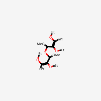 CCCC(OCC)=C(OCC)C(OC)OC(OC)C(OCC)=C(CCC)OCC